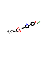 C/C=C/[C@H]1CO[C@H](C#Cc2ccc(-c3ccc(OC(F)F)cc3)nc2)OC1